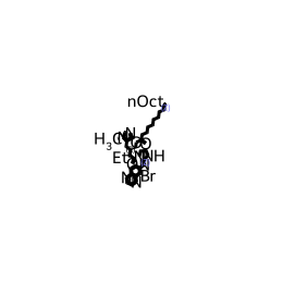 CCCCCCCC/C=C\CCCCCCCC(=O)OC[C@H](Cc1cncn1C)C(CC)C(=O)N1CCN/C1=N/c1ccc2nccnc2c1Br